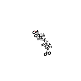 CC(C)[C@H](NC(=O)OCC1c2ccccc2-c2ccccc21)C(=O)N[C@@H](CCC(=O)NC[C@H](O)[C@@H](O)[C@H](O)[C@H](O)CO[Si](c1ccccc1)(c1ccccc1)C(C)(C)C)C(=O)OC(C)(C)C